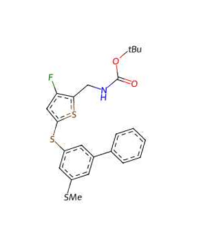 CSc1cc(Sc2cc(F)c(CNC(=O)OC(C)(C)C)s2)cc(-c2ccccc2)c1